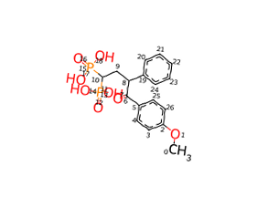 COc1ccc(C(=O)C(CC(P(=O)(O)O)P(=O)(O)O)c2ccccc2)cc1